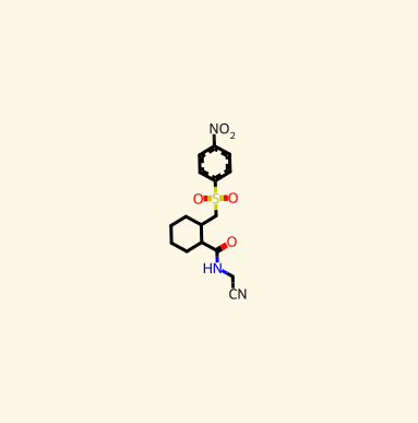 N#CCNC(=O)C1CCCCC1CS(=O)(=O)c1ccc([N+](=O)[O-])cc1